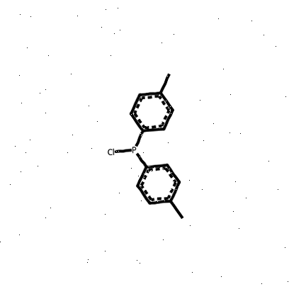 Cc1ccc(P(Cl)c2ccc(C)cc2)cc1